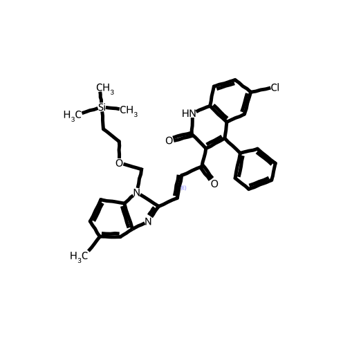 Cc1ccc2c(c1)nc(/C=C/C(=O)c1c(-c3ccccc3)c3cc(Cl)ccc3[nH]c1=O)n2COCC[Si](C)(C)C